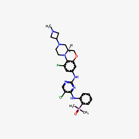 CN1CC(N2CCN3c4c(F)cc(Nc5ncc(Cl)c(Nc6ccccc6P(C)(C)=O)n5)cc4OC[C@@H]3C2)C1